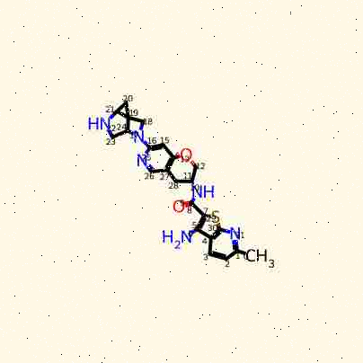 Cc1ccc2c(N)c(C(=O)N[C@H]3COc4cc(N5CC67CC6NCC57)ncc4C3)sc2n1